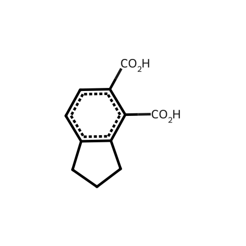 O=C(O)c1ccc2c(c1C(=O)O)CCC2